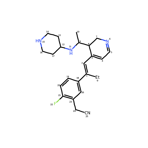 CC/C(=C\C1=CC=NCC1C(C)NC1CCNCC1)c1ccc(F)c(CC#N)c1